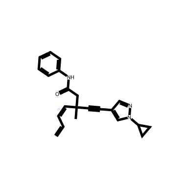 C=C/C=C\C(C)(C#Cc1cnn(C2CC2)c1)CC(=O)Nc1ccccc1